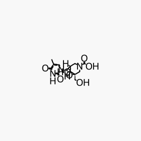 Cc1cn([C@@H]2O[C@@]3(CO)CN(C(=O)O)C[C@@H]2[C@@H]3O)c(=O)[nH]c1=O